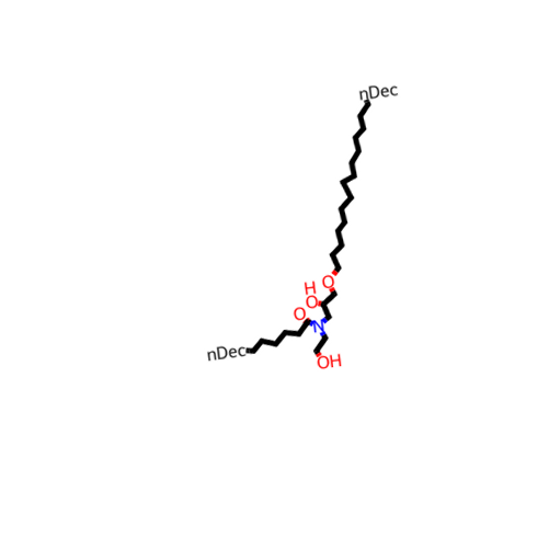 CCCCCCCCCCCCCCCCCCCCCCCCCOCC(O)CN(CCO)C(=O)CCCCCCCCCCCCCCC